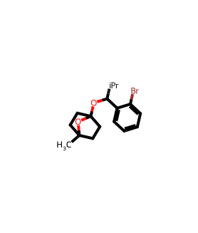 CC(C)C(OC12CCC(C)(CC1)O2)c1ccccc1Br